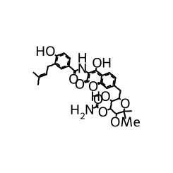 COC1C(OC(N)=O)C(O)C(Cc2ccc3c(O)c(NC(=O)c4ccc(O)c(CC=C(C)C)c4)c(=O)oc3c2)OC1(C)C